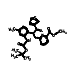 COC(=O)c1cccc(CC(C(=O)c2ccsc2)c2ccc(C)cc2NC(=O)OC(C)(C)C)n1